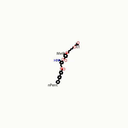 CCCCCC1CCC(c2ccc(-c3ccc(C(=O)OCCc4ccc(OC(=O)c5ccc(OCCCCCCOCC6(CC)COC6)c(OC)c5)c(C=N)c4)cc3)cc2)CC1